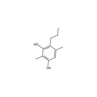 CCCc1c(C)cc(O)c(C)c1O